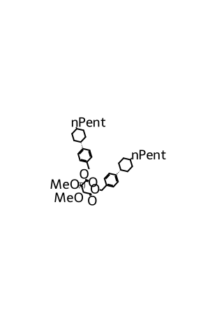 CCCCC[C@H]1CC[C@H](c2ccc(COC(=O)C(OC)[C@@H](OC)C(=O)OCc3ccc([C@H]4CC[C@H](CCCCC)CC4)cc3)cc2)CC1